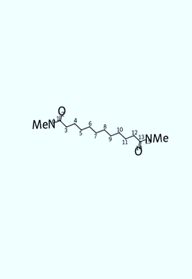 CNC(=O)CCCCCCCCCCC(=O)NC